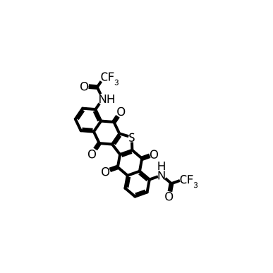 O=C(Nc1cccc2c(=O)c3c(sc4c(=O)c5c(NC(=O)C(F)(F)F)cccc5c(=O)c43)c(=O)c12)C(F)(F)F